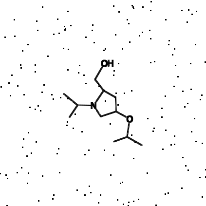 CC(C)OC1CC(CO)N(C(C)C)C1